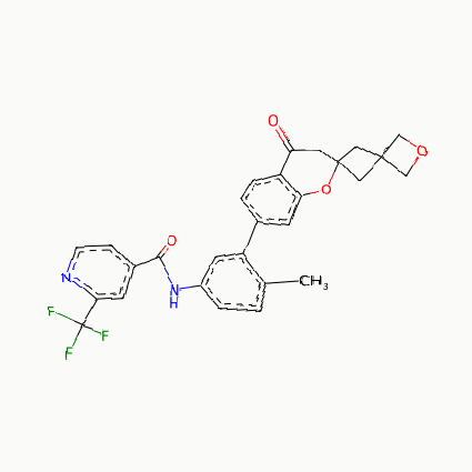 Cc1ccc(NC(=O)c2ccnc(C(F)(F)F)c2)cc1-c1ccc2c(c1)OC1(CC2=O)CC2(COC2)C1